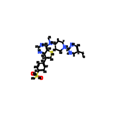 CCc1cnc(N2CCC(N(C)c3ncnc4c(-c5ccc(S(C)(=O)=O)cc5)csc34)CC2)nc1